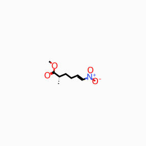 COC(=O)[C@@H](C)CCC=C[N+](=O)[O-]